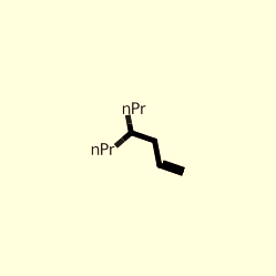 C=CCC(CCC)CCC